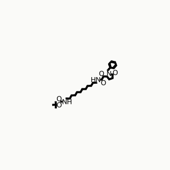 CC(C)(C)OC(=O)NCCCCCCCCCCCCNC(=O)C(=O)C1CCC(=O)N1Cc1ccccc1